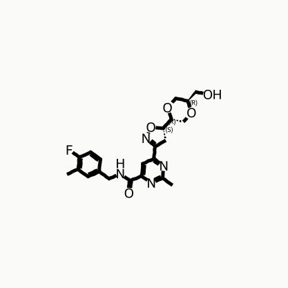 Cc1nc(C(=O)NCc2ccc(F)c(C)c2)cc(C2=NO[C@H]([C@H]3CO[C@H](CO)CO3)C2)n1